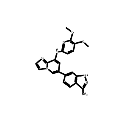 COc1ccc(Nc2cc(-c3ccc4c(N)n[nH]c4c3)cn3ccnc23)nc1OC